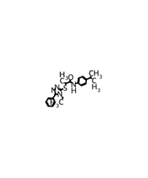 CCn1c(SC(C)C(=O)Nc2ccc(C(C)C)cc2)nnc1-c1ccccc1